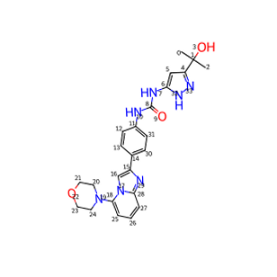 CC(C)(O)c1cc(NC(=O)Nc2ccc(-c3cn4c(N5CCOCC5)cccc4n3)cc2)[nH]n1